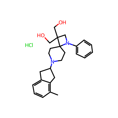 Cc1cccc2c1CC(N1CCC3(CC1)N(c1ccccc1)CC3(CO)CO)C2.Cl